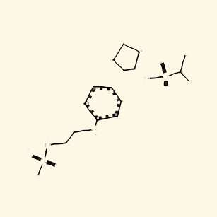 CC(C)S(=O)(=O)N[C@H]1CCC[C@H]1c1ccc(NCCNS(C)(=O)=O)cc1